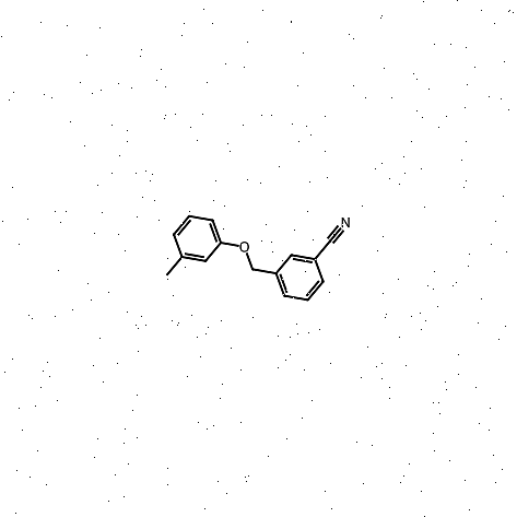 Cc1cccc(OCc2cccc(C#N)c2)c1